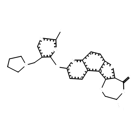 C[C@@H]1CNc2c(sc3ccc4nc(Oc5nc(Cl)ncc5CN5CCCC5)ccc4c23)C(=O)N1